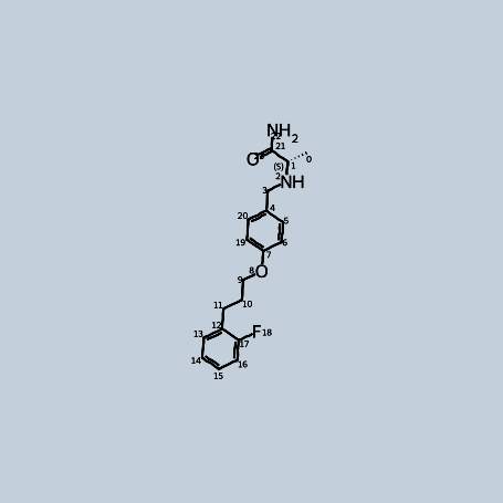 C[C@H](NCc1ccc(OCCCc2ccccc2F)cc1)C(N)=O